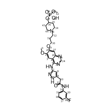 COc1cc2c(Nc3cc(CC(=O)Nc4cccc(F)c4)[nH]n3)ncnc2cc1OCCCN1CCC(OP(=O)(O)OC)CC1